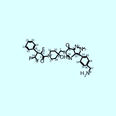 Cn1nc2c(=O)n(CC3(O)CCN(C(=O)C(F)C(c4ccccc4)C(F)F)CC3)cnc2c1-c1ccc(CN)cc1